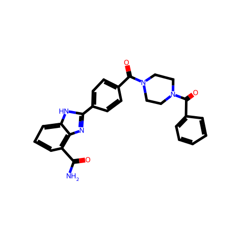 NC(=O)c1cccc2[nH]c(-c3ccc(C(=O)N4CCN(C(=O)c5ccccc5)CC4)cc3)nc12